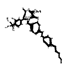 CCCCCCc1ccc(CCc2ccc(CN(C(=O)C(=O)O)C(CC)c3ccc(C(F)(F)F)cc3)cc2)cc1